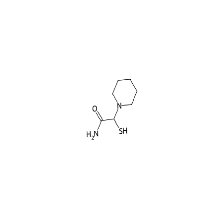 NC(=O)C(S)N1CCCCC1